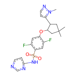 Cn1nccc1C1CC(C)(C)CC1Oc1cc(F)c(S(=O)(=O)Nc2ccncn2)cc1F